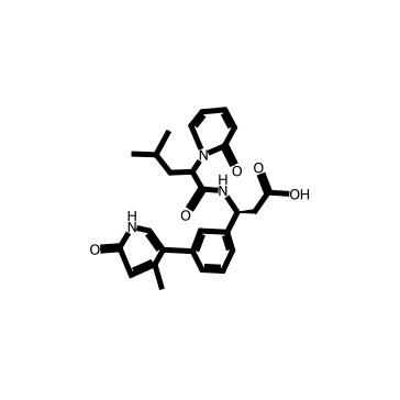 Cc1cc(=O)[nH]cc1-c1cccc([C@H](CC(=O)O)NC(=O)C(CC(C)C)n2ccccc2=O)c1